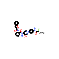 COC(F)C(=O)Nc1ccc(N2CCC(NC(=O)C3(NC(=O)c4cc5ccccc5o4)CCCCC3)C(O)C2)cc1